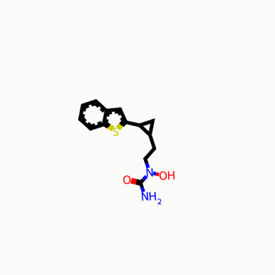 NC(=O)N(O)CCC1CC1c1cc2ccccc2s1